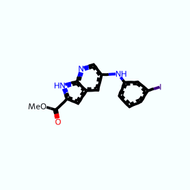 COC(=O)c1cc2cc(Nc3cccc(I)c3)cnc2[nH]1